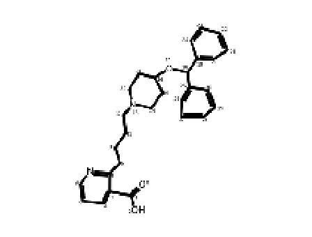 O=C(O)c1cccnc1CCCCN1CCC(OC(c2ccccc2)c2ccccc2)CC1